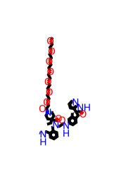 CCC1(C(=O)N(CC(=O)Nc2ccc3c(c2)C[C@@]2(C3)C(=O)Nc3ncccc32)Cc2ccccc2CNC)CCN(C(=O)COCCOCCOCCOCCOCCOCCOC)CC1